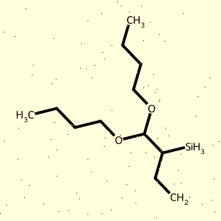 [CH2]CC([SiH3])C(OCCCC)OCCCC